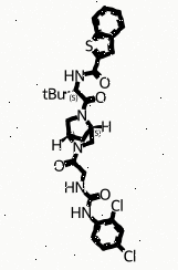 CC(C)(C)[C@H](NC(=O)c1cc2ccccc2s1)C(=O)N1C[C@@H]2C[C@H]1CN2C(=O)CNC(=O)Nc1ccc(Cl)cc1Cl